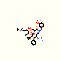 CCCC(CCC)S(=O)(=O)CC(NC(=O)CC1CC1)C(=O)N(Cc1cccc(OC)c1)C[C@@H](O)[C@@H](N)Cc1ccccc1